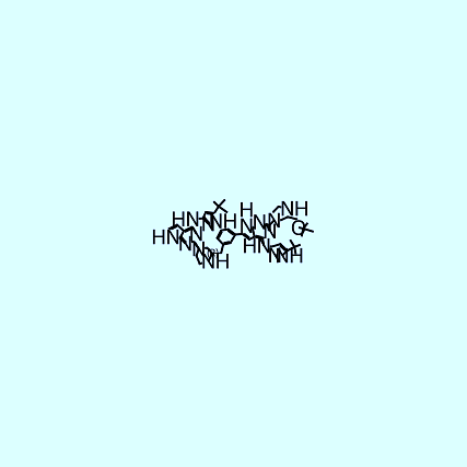 CC(C)(C)OCC1CN(c2nc(Nc3cc(C(C)(C)C)[nH]n3)c3cc(-c4cccc(C[C@@H]5CN(c6nc(Nc7cc(C(C)(C)C)[nH]n7)c7cc[nH]c7n6)CCN5)c4)[nH]c3n2)CCN1